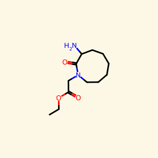 CCOC(=O)CN1CCCCCCC(N)C1=O